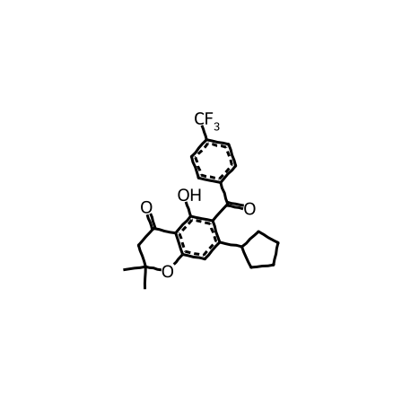 CC1(C)CC(=O)c2c(cc(C3CCCC3)c(C(=O)c3ccc(C(F)(F)F)cc3)c2O)O1